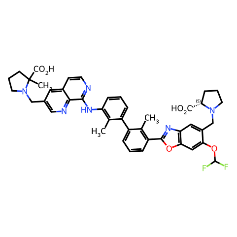 Cc1c(Nc2nccc3cc(CN4CCCC4(C)C(=O)O)cnc23)cccc1-c1cccc(-c2nc3cc(CN4CCC[C@H]4C(=O)O)c(OC(F)F)cc3o2)c1C